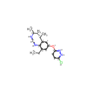 CCc1cc(Oc2ccc(Cl)nn2)cc(CC)c1N=C=NC(C)C